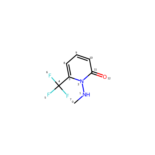 CNn1c(C(F)(F)F)cccc1=O